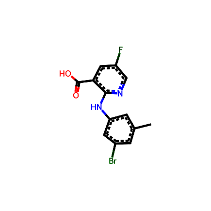 Cc1cc(Br)cc(Nc2ncc(F)cc2C(=O)O)c1